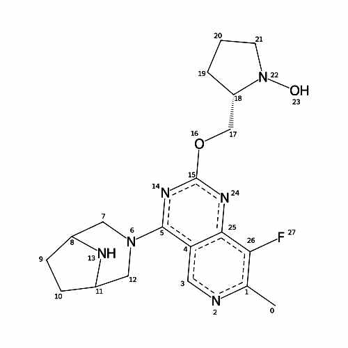 Cc1ncc2c(N3CC4CCC(C3)N4)nc(OC[C@@H]3CCCN3O)nc2c1F